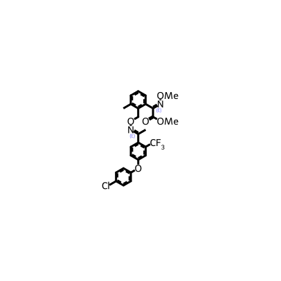 CO/N=C(/C(=O)OC)c1cccc(C)c1CO/N=C(\C)c1ccc(Oc2ccc(Cl)cc2)cc1C(F)(F)F